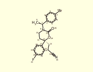 C[C@@H](c1ccc(Br)cc1)N1CC[C@](CCC#N)(c2ccc(F)cc2)OC1=O